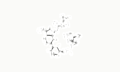 O=C(Cn1cc(Cl)c2ncc(-c3cncc(C(F)(F)F)c3)cc21)NC1CC1.O=C(O)C(F)(F)F